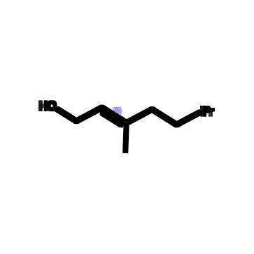 C/C(=C\CO)CCC(C)C